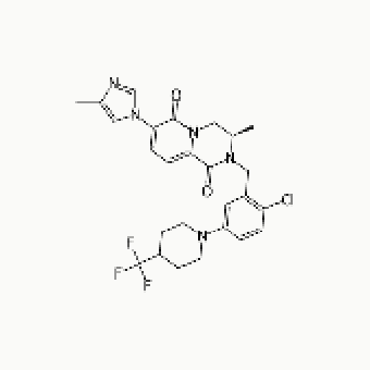 Cc1cn(-c2ccc3n(c2=O)C[C@@H](C)N(Cc2cc(N4CCC(C(F)(F)F)CC4)ccc2Cl)C3=O)cn1